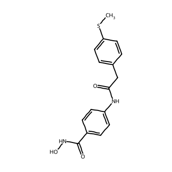 CSc1ccc(CC(=O)Nc2ccc(C(=O)NO)cc2)cc1